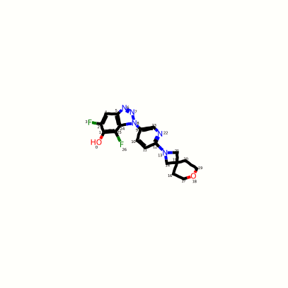 Oc1c(F)cc2nnn(-c3ccc(N4CC5(CCOCC5)C4)nc3)c2c1F